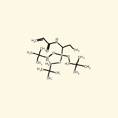 C=CC(=O)NC(CC)[Si](O[SiH2]C(C)(C)C)(O[SiH2]C(C)(C)C)O[SiH2]C(C)(C)C